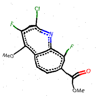 COC(=O)c1ccc2c(OC)c(F)c(Cl)nc2c1F